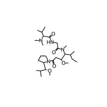 CCC(C)C(C(CC(=O)N1CCCC1[C@H](OC)C(C)C)OC)N(C)C(=O)CNC(=O)C(C(C)C)N(C)C